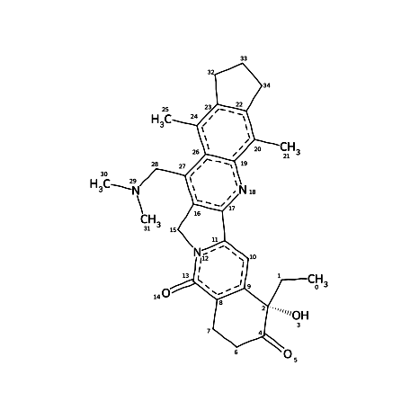 CC[C@@]1(O)C(=O)CCc2c1cc1n(c2=O)Cc2c-1nc1c(C)c3c(c(C)c1c2CN(C)C)CCC3